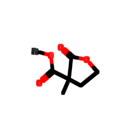 CCOC(=O)C1(C)CCOC1=O